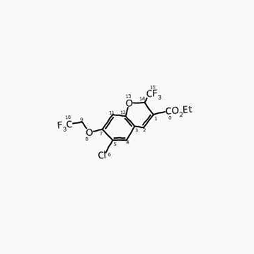 CCOC(=O)C1=Cc2cc(Cl)c(OCC(F)(F)F)cc2OC1C(F)(F)F